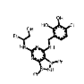 CCC(CO)Nc1nc(NCc2ccc(Cl)c(O)c2O)c2c(n1)N(C(C)C)NN2C(C)C